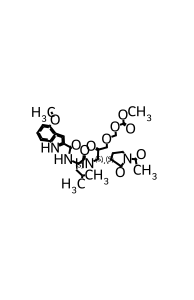 COC(=O)OCOCC(=O)[C@H](C[C@@H]1CCN(C(C)=O)C1=O)NC(=O)[C@H](CC(C)C)NC(=O)c1cc2c(OC)cccc2[nH]1